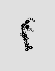 Cc1ccc(N(c2ccc(C)cc2)c2cccc(OC(=O)CCCN3C(=O)c4ccc5c6c(ccc(c46)C3=O)C(=O)N(CCCC(=O)Oc3cccc(N(c4ccccc4)c4ccccc4)c3)C5=O)c2)cc1